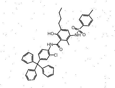 CCCCc1cc(NS(=O)(=O)c2ccc(C)cc2)c(C)c(C(=O)Nc2ccc(C(c3ccccc3)(c3ccccc3)c3ccccc3)cc2Cl)c1O